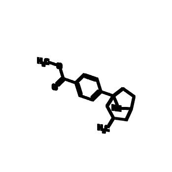 COC(=O)c1ccc(C23CCC(CC(C)C2)N3)cc1